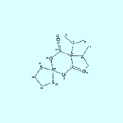 CC(C)C1(C(C)C)C(=O)OC2(OC1=O)SCCS2